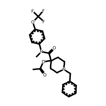 CC(=O)OC1(C(=O)N(C)c2ccc(OC(F)(F)F)cc2)CCN(Cc2ccccc2)CC1